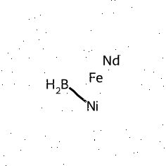 [BH2][Ni].[Fe].[Nd]